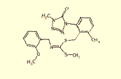 COc1ccccc1C/N=C(/SC)SCc1c(C)cccc1-n1nnn(C)c1=O